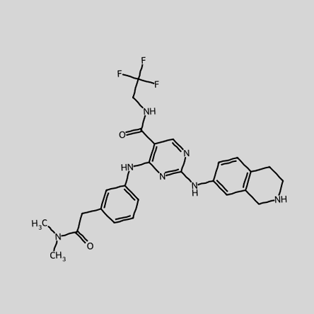 CN(C)C(=O)Cc1cccc(Nc2nc(Nc3ccc4c(c3)CNCC4)ncc2C(=O)NCC(F)(F)F)c1